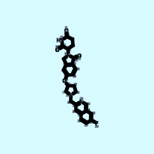 O=C1CCC(N2Cc3cc(OC4CCN(Cc5cc6ccc(F)cc6cn5)C4)ccc3C2=O)C(=O)N1